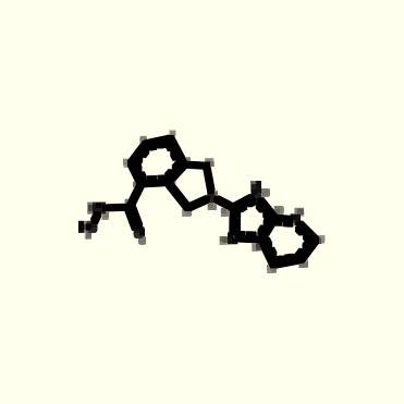 O=C(NO)c1cccc2c1CN(c1nc3cccnc3[nH]1)C2